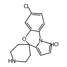 Cl.Clc1ccc2c(c1)OC1(CCNCC1)c1cccn1-2